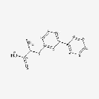 NC(Cc1ccnc(-c2ccccc2)c1)C(=O)O